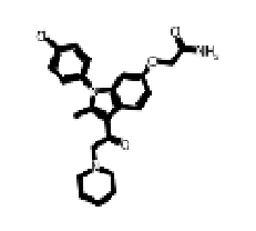 Cc1c(C(=O)CN2CCCCC2)c2ccc(OCC(N)=O)cc2n1-c1ccc(Cl)cc1